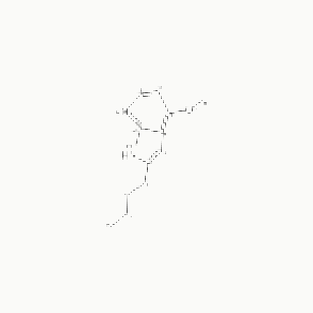 CCCCc1cc2c(OC)ccnc2[nH]1